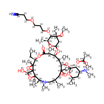 CC[C@H]1OC(=O)[C@H](C)[C@@H](OC2C[C@@](C)(OC)[C@@H](OCCCOCCC#N)[C@H](C)O2)[C@H](C)[C@@H](O[C@@H]2O[C@H](C)C[C@H](N(C)C)[C@H]2OC(C)=O)[C@](C)(O)C[C@@H](C)CN(C)[C@@H](C)[C@H]2O[C@@H](O)C23O[C@]13C